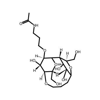 CC(=O)NCCCO[C@H]1C2O[C@H](CO)[C@@H](OCCCC3O[C@H](CO)[C@@H]2[C@H](O)[C@H]3O)[C@@H]1O